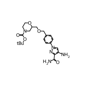 CC(C)(C)OC(=O)N1CCOC(COCc2ccc(-n3cc(N)c(C(N)=O)n3)cc2)C1